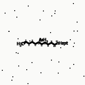 C=CCCCCCCCCCCCCCCCC.[AsH3]